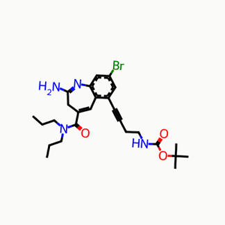 CCCN(CCC)C(=O)C1=Cc2c(C#CCCNC(=O)OC(C)(C)C)cc(Br)cc2N=C(N)C1